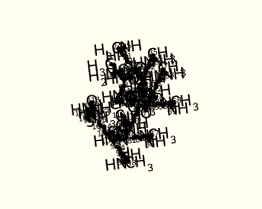 CC[C@H](N)C(=O)N[C@@H](CCCNC(C)=N)C(=O)N[C@@H](CCCNC(C)=N)C(=O)N[C@@H](CCCNC(C)=N)C(=O)N[C@@H](CCCNC(C)=N)C(=O)N[C@@H](CCCNC(C)=N)C(=O)N[C@@H](CCCNC(C)=N)C(=O)NCCCCC(NC(=O)[C@H](CCCNC(C)=N)NC(=O)[C@H](CCCNC(C)=N)NC(=O)CCCC[C@@H]1SC[C@@H]2NC(=O)N[C@@H]21)C(=O)NC